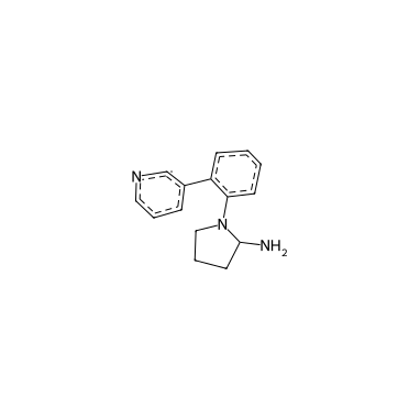 NC1CCCN1c1ccccc1-c1[c]nccc1